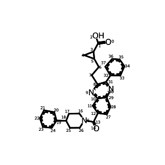 O=C(O)C1CC1CCc1nc2cc(C(=O)N3CCC(c4ccccc4)CC3)ccc2nc1-c1ccccc1